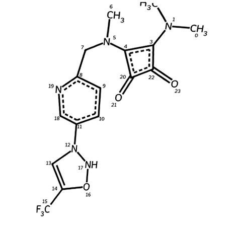 CN(C)c1c(N(C)Cc2ccc(N3C=C(C(F)(F)F)ON3)cn2)c(=O)c1=O